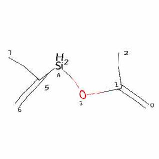 C=C(C)O[SiH2]C(=C)C